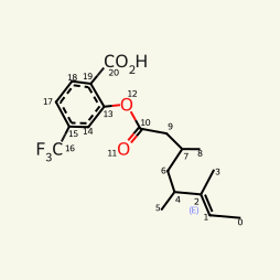 C/C=C(\C)C(C)CC(C)CC(=O)Oc1cc(C(F)(F)F)ccc1C(=O)O